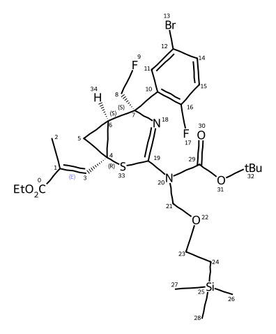 CCOC(=O)/C(C)=C/[C@]12C[C@H]1[C@@](CF)(c1cc(Br)ccc1F)N=C(N(COCC[Si](C)(C)C)C(=O)OC(C)(C)C)S2